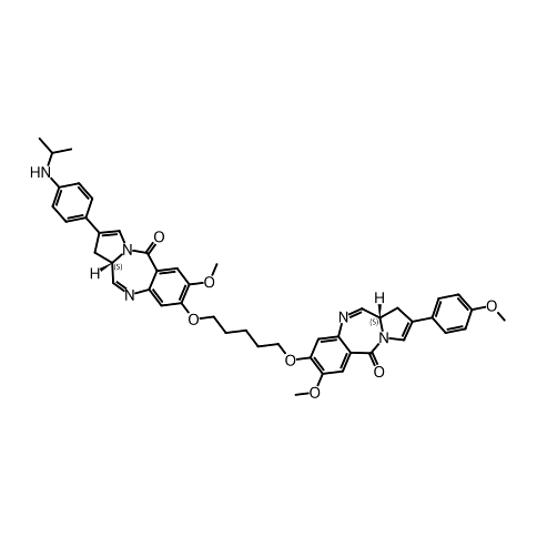 COc1ccc(C2=CN3C(=O)c4cc(OC)c(OCCCCCOc5cc6c(cc5OC)C(=O)N5C=C(c7ccc(NC(C)C)cc7)C[C@H]5C=N6)cc4N=C[C@@H]3C2)cc1